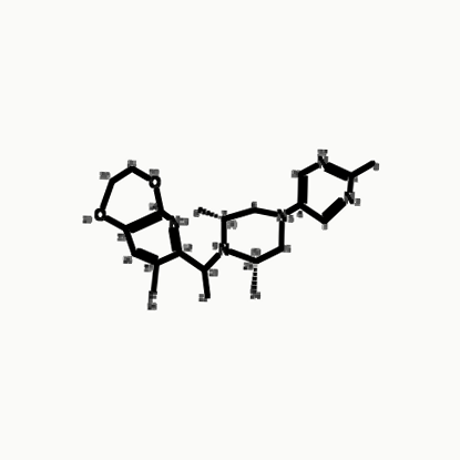 Cc1ncc(N2C[C@@H](C)N(C(C)c3nc4c(cc3F)OCCO4)[C@@H](C)C2)cn1